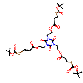 CC(C)(C)OC(=O)SCCC(=O)OCCn1c(=O)n(CCOC(=O)CCSC(=O)OC(C)(C)C)c(=O)n(CCOC(=O)CCSC(=O)OC(C)(C)C)c1=O